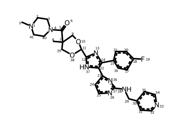 CN1CCN(C(=O)C2(C)COC(c3nc(-c4ccc(F)cc4)c(-c4ccnc(NCc5ccncc5)n4)[nH]3)OC2)CC1